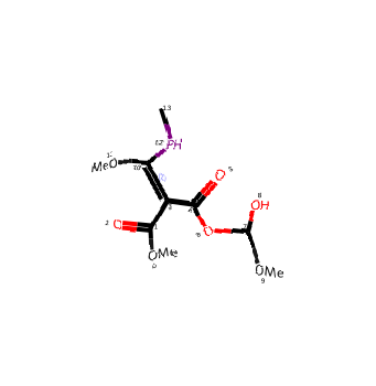 COC(=O)/C(C(=O)OC(O)OC)=C(\OC)PC